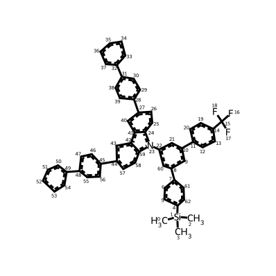 C[Si](C)(C)c1ccc(-c2cc(-c3ccc(C(F)(F)F)cc3)cc(-n3c4ccc(-c5ccc(-c6ccccc6)cc5)cc4c4cc(-c5ccc(-c6ccccc6)cc5)ccc43)c2)cc1